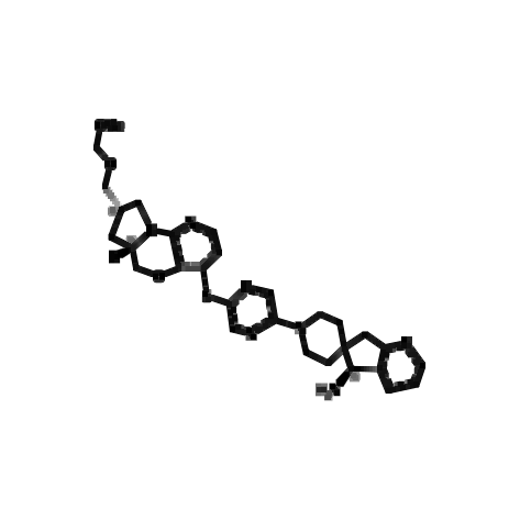 COCOC[C@H]1C[C@H]2COc3c(Sc4cnc(N5CCC6(CC5)Cc5ncccc5[C@H]6N)cn4)ccnc3N2C1